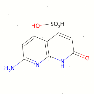 Nc1ccc2ccc(=O)[nH]c2n1.O=S(=O)(O)O